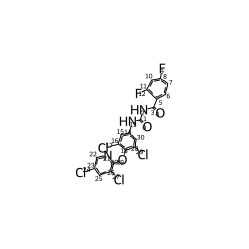 O=C(NC(=O)c1ccc(F)cc1F)Nc1cc(Cl)c(Oc2ncc(Cl)cc2Cl)c(Cl)c1